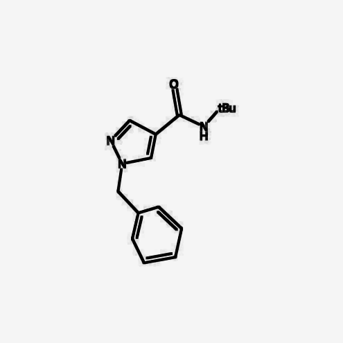 CC(C)(C)NC(=O)c1cnn(Cc2ccccc2)c1